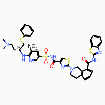 CN(C)CC[C@H](CSc1ccccc1)Nc1ncc(S(=O)(=O)NC(=O)c2csc(N3CCc4cccc(C(=O)Nc5nc6ccccc6s5)c4C3)n2)cc1[N+](=O)[O-]